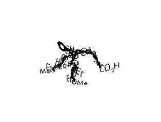 CCC(CNS(=O)(=O)CCCOC1c2cc(C(C)(C)c3ccc(OCCCCCC(=O)O)cc3)ccc2-c2ccc(C(C)(C)C3CCCCCCC3)cc2C1OCCCS(=O)(=O)NCC(CC)COCC(CC)COC)COCC(CC)COC